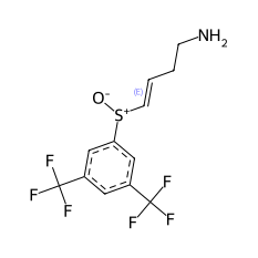 NCC/C=C/[S+]([O-])c1cc(C(F)(F)F)cc(C(F)(F)F)c1